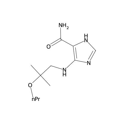 CCCOC(C)(C)CNc1nc[nH]c1C(N)=O